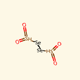 O=[SH](=O)[Se][Se][SH](=O)=O